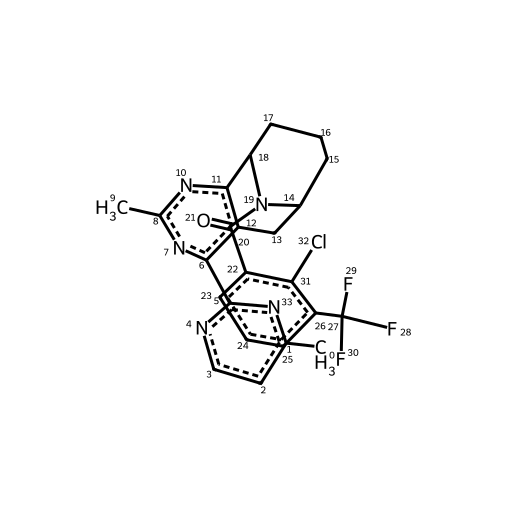 Cc1ccnc(-c2nc(C)nc3c2CC2CCCC3N2C(=O)c2cccc(C(F)(F)F)c2Cl)n1